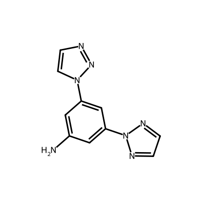 Nc1cc(-n2ccnn2)cc(-n2nccn2)c1